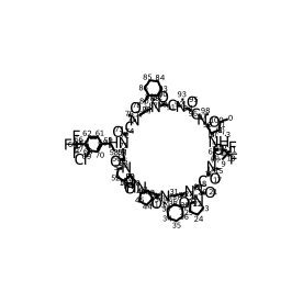 CC[C@H](C)[C@@H]1NC(=O)[C@H](CC(F)(F)F)N(C)C(=O)C[C@@H](C(=O)N2CCCC2)N(C)C(=O)[C@H](C2CCCCC2)N(C)C(=O)C2(CCCC2)NC(=O)[C@@H]2CCCN2C(=O)[C@H](CCc2ccc(C(F)(F)F)c(Cl)c2)NC(=O)CN(C)C(=O)[C@H](CC2CCCCC2)N(C)C(=O)CN(C)C(=O)CN(C)C1=O